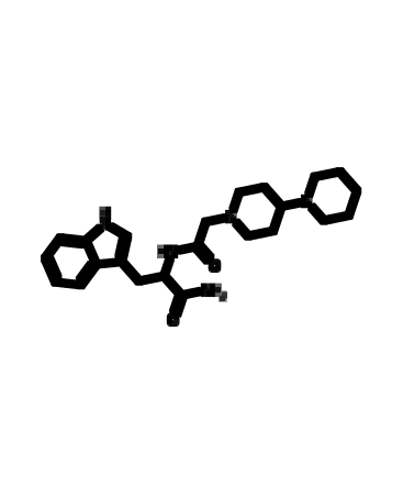 NC(=O)C(Cc1c[nH]c2ccccc12)NC(=O)CN1CCC(N2CCCCC2)CC1